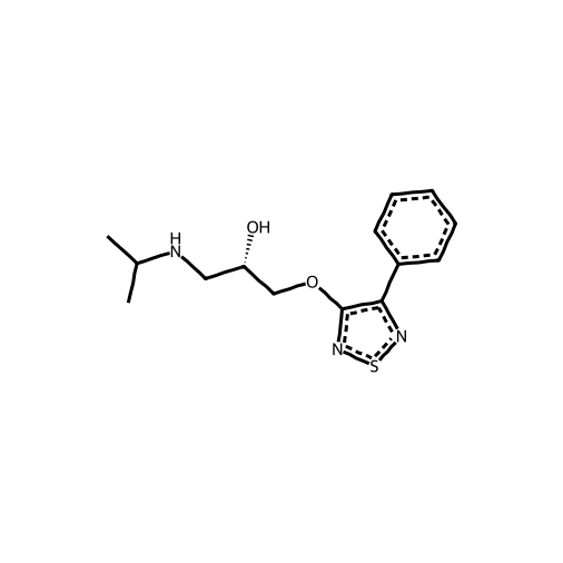 CC(C)NC[C@H](O)COc1nsnc1-c1ccccc1